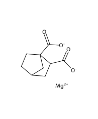 O=C([O-])C1CC2CCC1(C(=O)[O-])C2.[Mg+2]